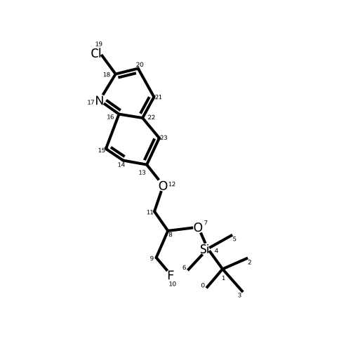 CC(C)(C)[Si](C)(C)OC(CF)COc1ccc2nc(Cl)ccc2c1